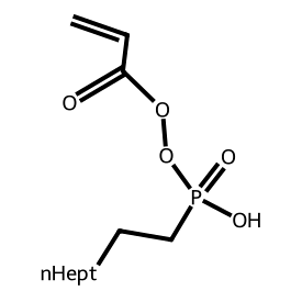 C=CC(=O)OOP(=O)(O)CCCCCCCCC